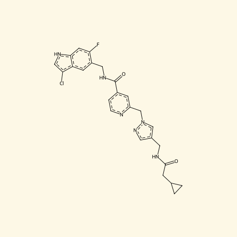 O=C(CC1CC1)NCc1cnn(Cc2cc(C(=O)NCc3cc4c(Cl)c[nH]c4cc3F)ccn2)c1